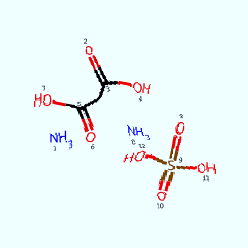 N.N.O=C(O)C(=O)O.O=S(=O)(O)O